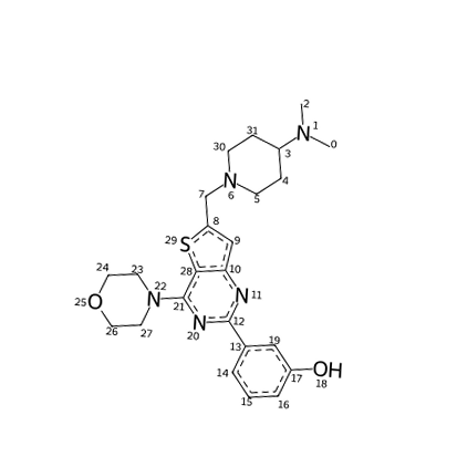 CN(C)C1CCN(Cc2cc3nc(-c4cccc(O)c4)nc(N4CCOCC4)c3s2)CC1